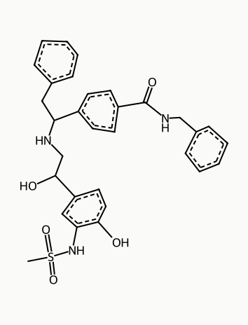 CS(=O)(=O)Nc1cc(C(O)CNC(Cc2ccccc2)c2ccc(C(=O)NCc3ccccc3)cc2)ccc1O